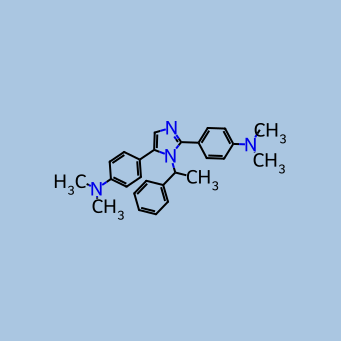 CC(c1ccccc1)n1c(-c2ccc(N(C)C)cc2)cnc1-c1ccc(N(C)C)cc1